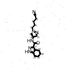 N#CCCCCn1cc(NC(=O)c2n[nH]c3ccccc23)cn1